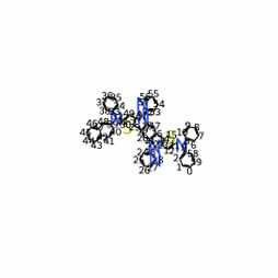 c1ccc(N(c2ccccc2)c2cc3c(s2)c2cc4c(cc2n3-c2ccccn2)c2sc(N(c3ccccc3)c3ccc5ccccc5c3)cc2n4-c2ccccn2)cc1